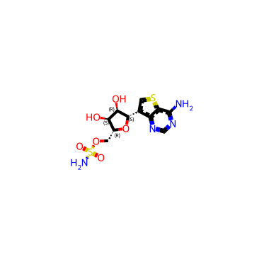 Nc1ncnc2c([C@@H]3O[C@H](COS(N)(=O)=O)[C@@H](O)[C@H]3O)csc12